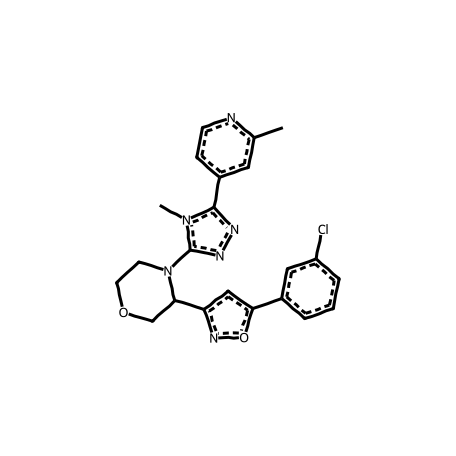 Cc1cc(-c2nnc(N3CCOCC3c3cc(-c4cccc(Cl)c4)on3)n2C)ccn1